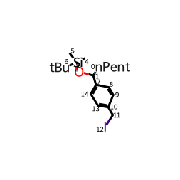 CCCCCC(O[Si](C)(C)C(C)(C)C)c1ccc(CI)cc1